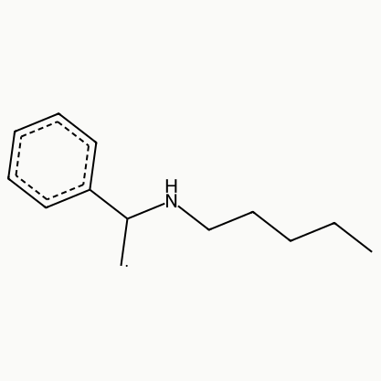 [CH2]C(NCCCCC)c1ccccc1